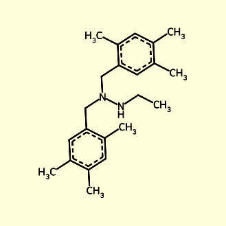 CCNN(Cc1cc(C)c(C)cc1C)Cc1cc(C)c(C)cc1C